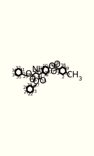 Cc1ccc(S(=O)(=O)Oc2ccc(C(C(=O)OCc3ccccc3)C(N)C(=O)OCc3ccccc3)cc2)cc1